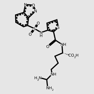 NC(N)NCCC[C@H](NC(=O)c1sccc1NS(=O)(=O)c1cccc2nonc12)C(=O)O